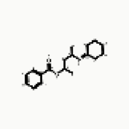 CC(CC(C)OC(=O)c1ccccc1)N=C1CCCCC1